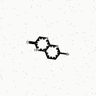 O=c1cnc2nc(Br)ccc2[nH]1